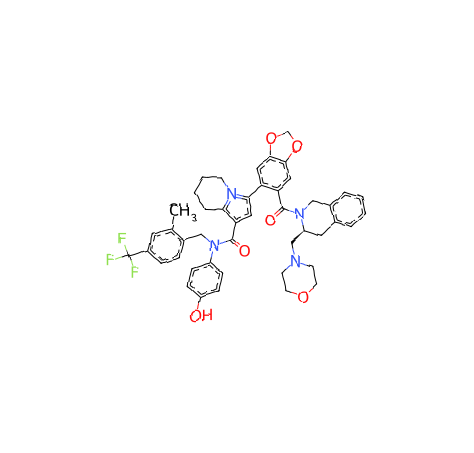 Cc1cc(C(F)(F)F)ccc1CN(C(=O)c1cc(-c2cc3c(cc2C(=O)N2Cc4ccccc4C[C@H]2CN2CCOCC2)OCO3)n2c1CCCC2)c1ccc(O)cc1